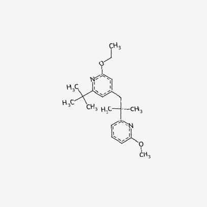 CCOc1cc(CC(C)(C)c2cccc(OC)n2)cc(C(C)(C)C)n1